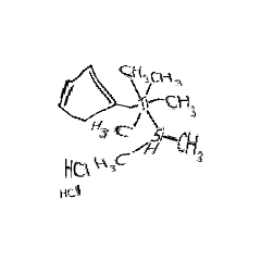 C[SiH](C)[Ti]([CH3])([CH3])([CH3])([CH3])[C]1=CC=CC1.Cl.Cl